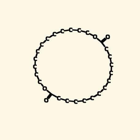 O=C1CCCCCCCCCCCCC(=O)OCCCCCCCCCCCCO1